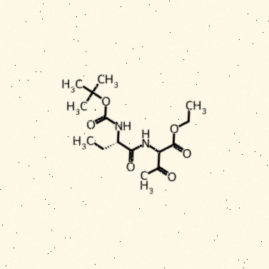 CCOC(=O)C(NC(=O)[C@H](CC)NC(=O)OC(C)(C)C)C(C)=O